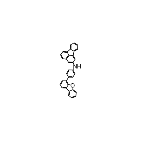 c1ccc2c(c1)-c1cccc3cc(Nc4ccc(-c5cccc6c5oc5ccccc56)cc4)cc-2c13